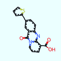 O=C(O)c1cccn2c(=O)c3cc(-c4cccs4)ccc3nc12